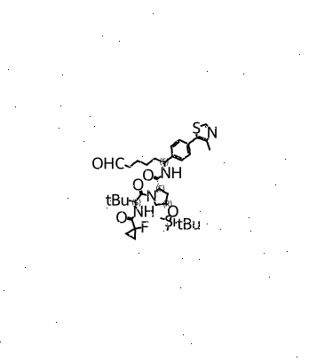 Cc1ncsc1-c1ccc([C@H](CCCCC=O)NC(=O)[C@@H]2C[C@@H](O[Si](C)(C)C(C)(C)C)CN2C(=O)[C@@H](NC(=O)C2(F)CC2)C(C)(C)C)cc1